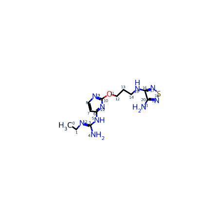 CCN=C(N)Nc1ccnc(OCCCNc2nsnc2N)n1